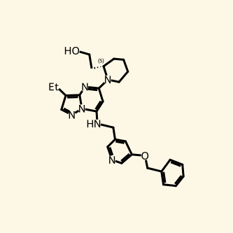 CCc1cnn2c(NCc3cncc(OCc4ccccc4)c3)cc(N3CCCC[C@H]3CCO)nc12